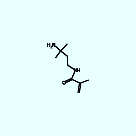 C=C(C)C(=O)NCCC(C)(C)N